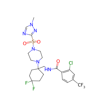 Cn1cnc(S(=O)(=O)N2CCN(C3(CNC(=O)c4ccc(C(F)(F)F)cc4Cl)CCC(F)(F)CC3)CC2)n1